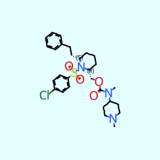 CN1CCC(N(C)C(=O)OC[C@H]2CCC[C@@H](CCc3ccccc3)N2S(=O)(=O)c2ccc(Cl)cc2)CC1